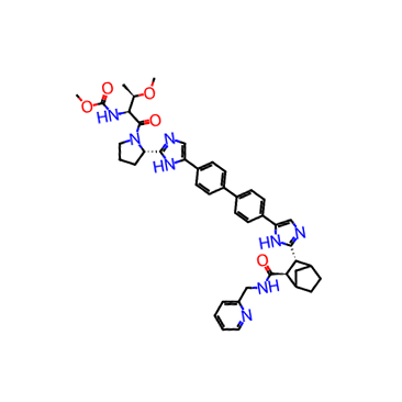 COC(=O)N[C@H](C(=O)N1CCC[C@H]1c1ncc(-c2ccc(-c3ccc(-c4cnc([C@@H]5C6CCC(C6)[C@H]5C(=O)NCc5ccccn5)[nH]4)cc3)cc2)[nH]1)[C@@H](C)OC